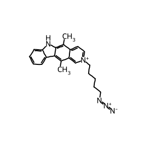 Cc1c2cc[n+](CCCCCN=[N+]=[N-])cc2c(C)c2c1[nH]c1ccccc12